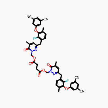 Cc1ccc(Cc2cc(C)c(=O)n(COC(=O)CCC(=O)OCn3nc(Cc4ccc(C)c(Oc5cc(C#N)cc(C#N)c5)c4F)cc(C)c3=O)n2)c(F)c1Oc1cc(C#N)cc(C#N)c1